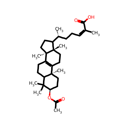 CC(=O)O[C@@H]1CC[C@]2(C)C3=C(CCC2C1(C)C)[C@@]1(C)CCC([C@H](C)CC/C=C(/C)C(=O)O)[C@]1(C)CC3